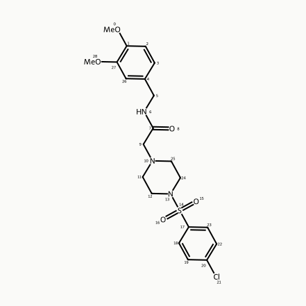 COc1ccc(CNC(=O)CN2CCN(S(=O)(=O)c3ccc(Cl)cc3)CC2)cc1OC